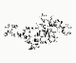 CCC(C)C(C(CC(=O)N1CCC[C@H]1C(OC)C(C)C(=O)NC(Cc1c[nH]c2ccccc12)C(=O)N1CCCCO1)OC)N(C)C(=O)C(NC(=O)C(C(C)C)N(C)CC(C)NC(=O)NCCN1C(=O)C=CC1=O)C(C)C